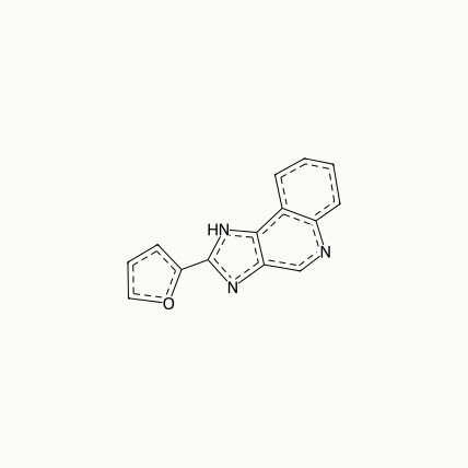 c1coc(-c2nc3cnc4ccccc4c3[nH]2)c1